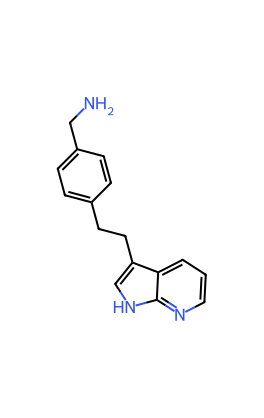 NCc1ccc(CCc2c[nH]c3ncccc23)cc1